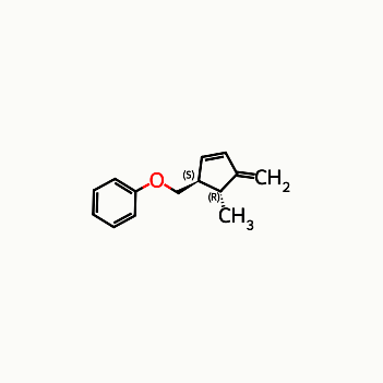 C=C1C=C[C@H](COc2ccccc2)[C@H]1C